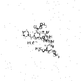 CCc1c(Cc2ccccc2)cc(C(=O)OC)c(CS(=O)(=O)NC(=O)Nc2cc(OC)cc(OC)n2)c1C